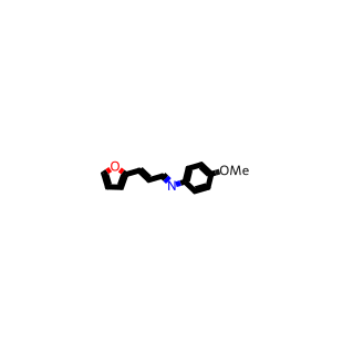 COc1ccc(N=CC=Cc2ccco2)cc1